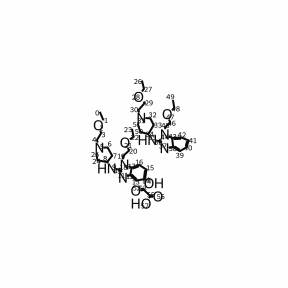 CCOCCN1CCC(Nc2nc3ccccc3n2CCOCC)CC1.CCOCCN1CCC(Nc2nc3ccccc3n2CCOCC)CC1.O=C(O)C(=O)O